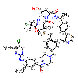 CCC(C)(F)C(=O)N[C@H](C(=O)N1C[C@H](O)C[C@H]1C(=O)N[C@@H](C)c1ccc(-c2scnc2C)cc1)C(C)(C)SCc1ccc(CN2CCN(C(=O)c3ccc(Nc4ncc(Cl)c(NC)n4)c(OC)c3)CC2)cc1